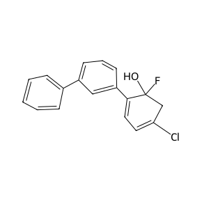 OC1(F)CC(Cl)=CC=C1c1cccc(-c2ccccc2)c1